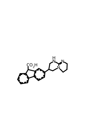 O=C(O)C1c2ccccc2-c2ccc(C3CNC4=NCCCN4C3)cc21